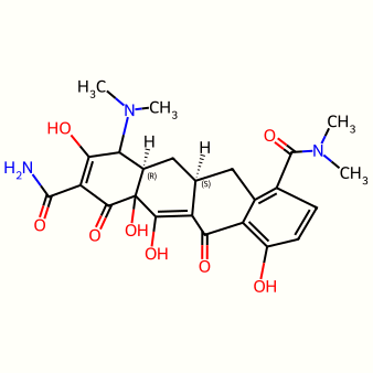 CN(C)C(=O)c1ccc(O)c2c1C[C@@H]1C[C@@H]3C(N(C)C)C(O)=C(C(N)=O)C(=O)C3(O)C(O)=C1C2=O